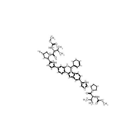 COC(=O)NC(C(=O)N1CCC[C@H]1c1ncc(-c2ccc3c(c2)cc2n3C(C3=CC=CCC3)Oc3cc(-c4cnc(C5C[C@@H](F)CN5C(=O)[C@@H](NC(=O)OC)C(C)C)[nH]4)ccc3-2)[nH]1)C(C)C